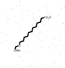 COCOCCCCCCCCCCCC(=O)O